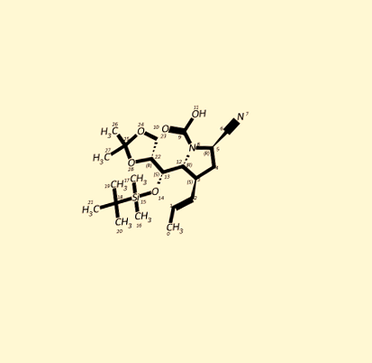 CC=C[C@@H]1C[C@H](C#N)N(C(=O)O)[C@H]1[C@H](O[Si](C)(C)C(C)(C)C)[C@H]1COC(C)(C)O1